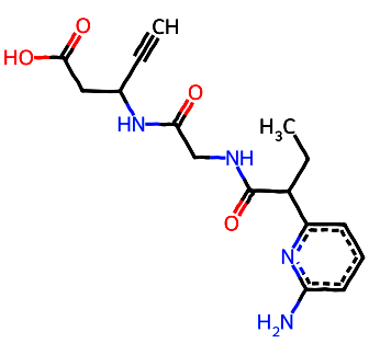 C#CC(CC(=O)O)NC(=O)CNC(=O)C(CC)c1cccc(N)n1